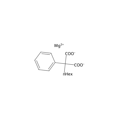 CCCCCCC(C(=O)[O-])(C(=O)[O-])c1ccccc1.[Mg+2]